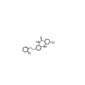 O=C1Nc2cc(CCn3ccccc3=O)ccc2Nc2cc(Cl)ccc21